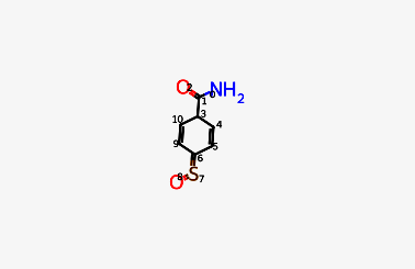 NC(=O)C1C=CC(=S=O)C=C1